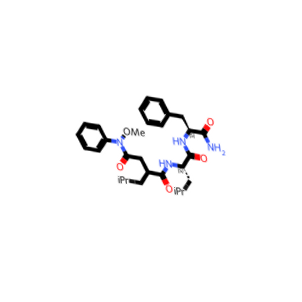 CON(C(=O)CC(CC(C)C)C(=O)N[C@@H](CC(C)C)C(=O)N[C@@H](Cc1ccccc1)C(N)=O)c1ccccc1